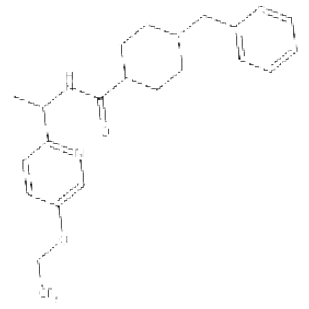 CC(NC(=O)C1CCN(Cc2ccccc2)CC1)c1ccc(OCC(F)(F)F)cn1